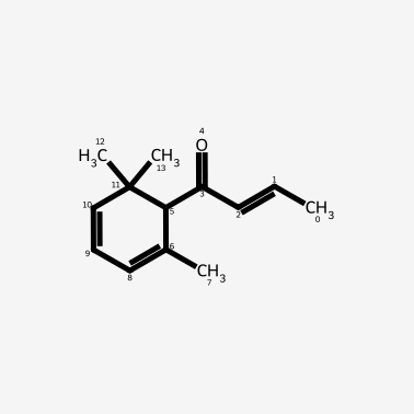 C/C=C/C(=O)C1C(C)=CC=CC1(C)C